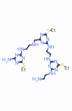 CCSc1nc(N)nc(NCCNCc2nc(NCCNc3nc(NCCN)nc(SCC)n3)nc(SCC)n2)n1